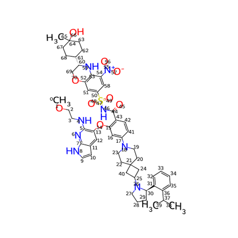 COCCNc1nc2[nH]ccc2cc1Oc1cc(N2CCC3(CC2)CC(N2CCC[C@@H]2c2ccccc2C(C)C)C3)ccc1C(=O)NS(=O)(=O)c1cc2c(c([N+](=O)[O-])c1)N[C@@H](C1CCC(C)(O)CC1)CO2